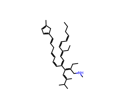 CCC/C=C\C=C/C(=C/C=C(\C=C/C=C/C/C=C/C1=CC=C(C)C1)C(/C=C(\C)C(C)C)=C(\CC)CNC)CC